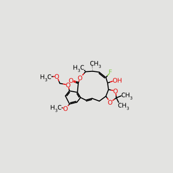 COCOc1cc(OC)cc2c1C(=O)O[C@@H](C)[C@H](C)/C=C(/F)C(O)C1OC(C)(C)OC1C/C=C/2